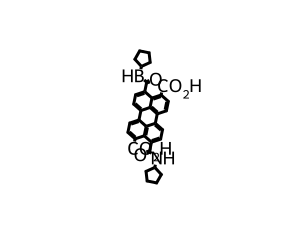 O=C(O)c1ccc2c3ccc(C(=O)NC4CCCC4)c4c(C(=O)O)ccc(c5ccc(C(=O)BC6CCCC6)c1c52)c43